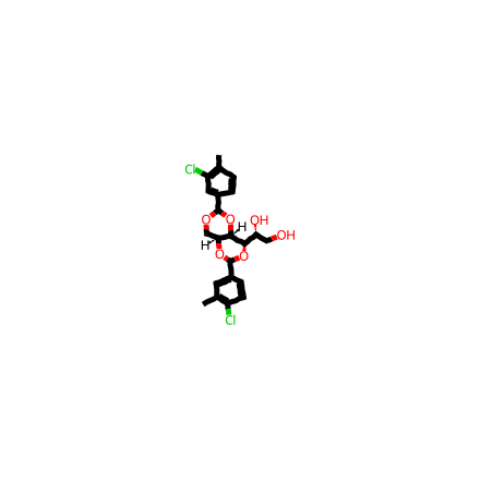 Cc1cc(C2O[C@H]([C@H](O)CO)[C@@H]3OC(c4ccc(C)c(Cl)c4)OC[C@@H]3O2)ccc1Cl